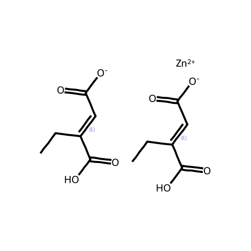 CC/C(=C\C(=O)[O-])C(=O)O.CC/C(=C\C(=O)[O-])C(=O)O.[Zn+2]